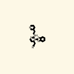 N#CCC1C=CN=C(NCCc2cccnc2)N1c1nc2ccccc2s1